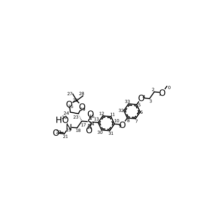 COCCOc1ccc(Oc2ccc(S(=O)(=O)C(CN(O)C=O)[C@@H]3COC(C)(C)O3)cc2)cc1